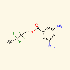 Nc1cc(N)cc(C(=O)OCC(F)(F)C(F)(F)C(F)(F)F)c1